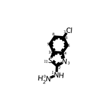 NNc1nc2cc(Cl)ccc2s1